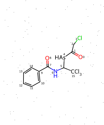 O=C(CCl)[AsH]C(NC(=O)c1ccccc1)C(Cl)(Cl)Cl